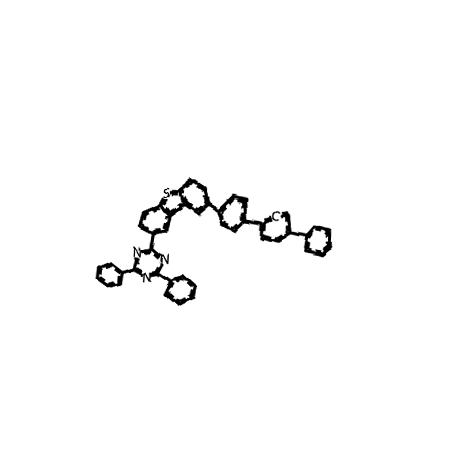 c1ccc(-c2ccc(-c3ccc(-c4ccc5sc6ccc(-c7nc(-c8ccccc8)nc(-c8ccccc8)n7)cc6c5c4)cc3)cc2)cc1